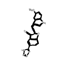 COc1ccc2[nH]cc(/C=C3\Oc4ccc(-c5nnn[nH]5)cc4C3=O)c2c1